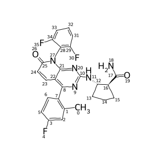 Cc1cc(F)ccc1-c1nc(N[C@H]2CCC[C@@H]2C(N)=O)nc2c1ccc(=O)n2-c1c(F)cccc1F